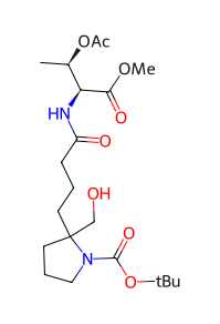 COC(=O)[C@@H](NC(=O)CCCC1(CO)CCCN1C(=O)OC(C)(C)C)[C@@H](C)OC(C)=O